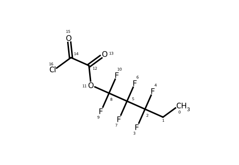 CCC(F)(F)C(F)(F)C(F)(F)OC(=O)C(=O)Cl